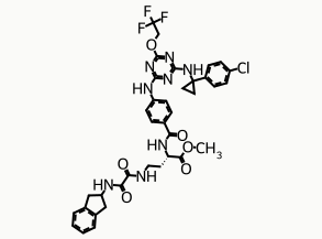 COC(=O)[C@H](CCNC(=O)C(=O)NC1Cc2ccccc2C1)NC(=O)c1ccc(Nc2nc(NC3(c4ccc(Cl)cc4)CC3)nc(OCC(F)(F)F)n2)cc1